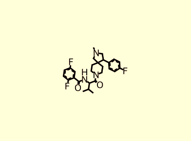 CC(C)C(NC(=O)c1cc(F)ccc1F)C(=O)N1CCC2(CC1)CN(C)CC2c1ccc(F)cc1